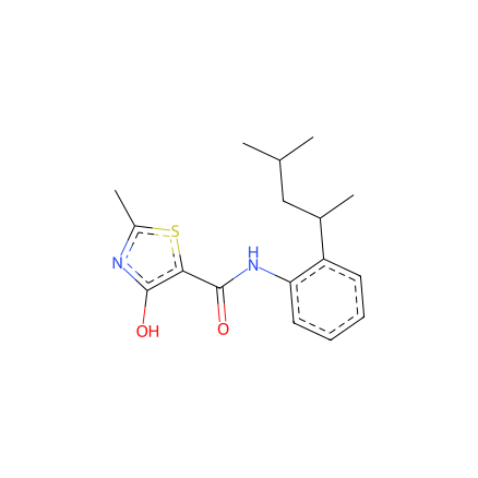 Cc1nc(O)c(C(=O)Nc2ccccc2C(C)CC(C)C)s1